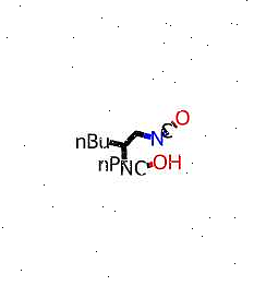 CCCCC(CCC)CN=C=O.N#CO